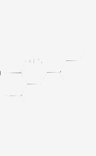 CCCC(=O)[C@@H](N)CC(C(=O)O)C(=O)O